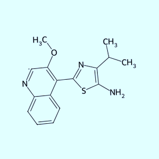 COc1[c]nc2ccccc2c1-c1nc(C(C)C)c(N)s1